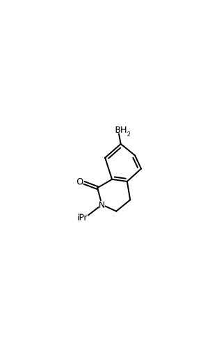 Bc1ccc2c(c1)C(=O)N(C(C)C)CC2